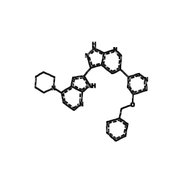 c1ccc(COc2cncc(-c3cnc4[nH]nc(-c5cc6c(N7CCCCC7)ccnc6[nH]5)c4c3)c2)cc1